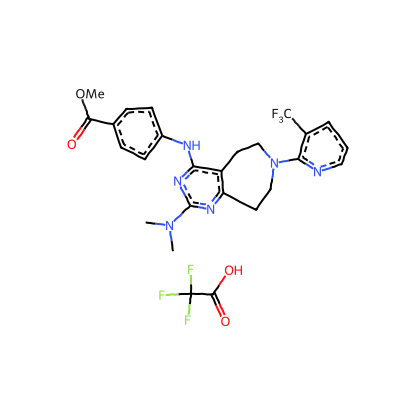 COC(=O)c1ccc(Nc2nc(N(C)C)nc3c2CCN(c2ncccc2C(F)(F)F)CC3)cc1.O=C(O)C(F)(F)F